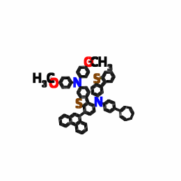 COc1ccc(N(c2ccc(OC)cc2)c2ccc3c(c2)sc2c(-c4cc5ccccc5c5ccccc45)ccc(N(c4ccc(C5=CC=CCC=C5)cc4)c4ccc5sc6ccccc6c5c4)c23)cc1